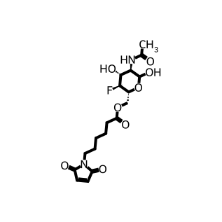 CC(=O)N[C@H]1C(O)O[C@H](COC(=O)CCCCCN2C(=O)C=CC2=O)[C@@H](F)[C@@H]1O